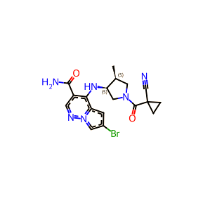 C[C@H]1CN(C(=O)C2(C#N)CC2)C[C@H]1Nc1c(C(N)=O)cnn2cc(Br)cc12